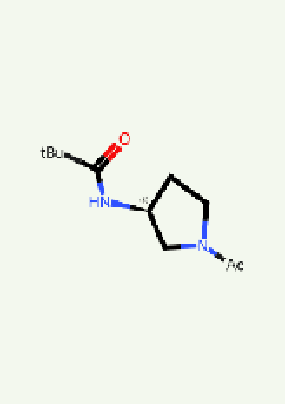 CC(=O)N1CC[C@H](NC(=O)C(C)(C)C)C1